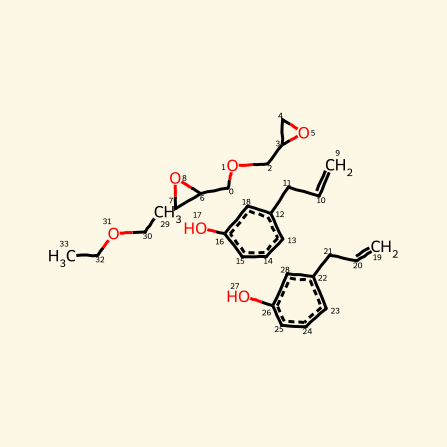 C(OCC1CO1)C1CO1.C=CCc1cccc(O)c1.C=CCc1cccc(O)c1.CCOCC